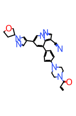 C=CC(=O)N1CCN(c2ccc(-c3cc(-c4cnn([C@H]5CCOC5)c4)cn4ncc(C#N)c34)cc2)CC1